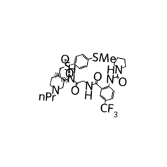 CCCN1CC[C@@H](CS(=O)(=O)c2ccc(SC)cc2)[C@@H](NC(=O)CNC(=O)c2cc(C(F)(F)F)ccc2NC(=O)N2CCCC2)C1